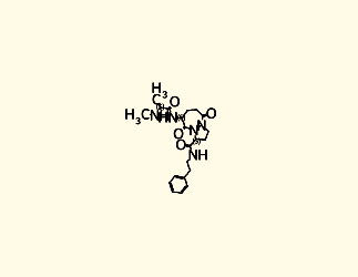 CN[C@@H](C)C(=O)N[C@H]1CCC(=O)N2CC[C@@H](C(=O)NCCc3ccccc3)N2C1=O